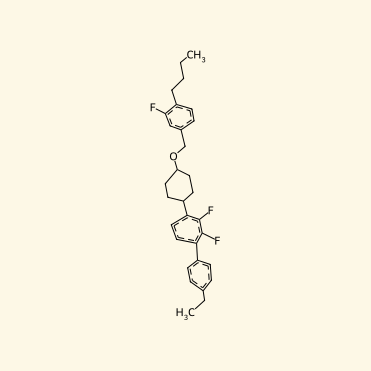 CCCCc1ccc(COC2CCC(c3ccc(-c4ccc(CC)cc4)c(F)c3F)CC2)cc1F